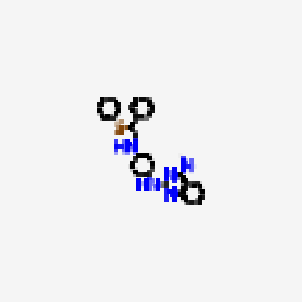 CN(C)c1nc(N[C@H]2CC[C@@H](NCC(Sc3ccccc3)c3ccccc3)CC2)nc2ccccc12